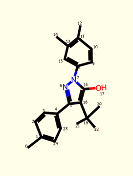 Cc1ccc(-c2nn(-c3ccc(C)c(C)c3)c(O)c2C(C)(C)C)cc1